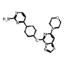 Nc1nccc(C2CCC(Oc3nc(N4CCOCC4)cc4ncnn34)CC2)n1